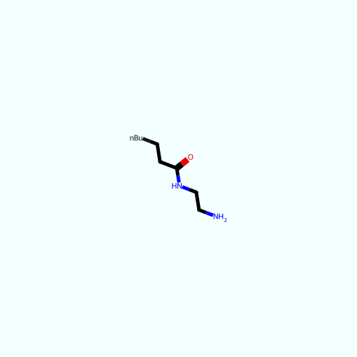 CCCCCCC(=O)NCCN